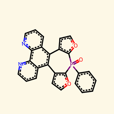 O=P1(c2ccccc2)c2occc2-c2c(c3cccnc3c3ncccc23)-c2ccoc21